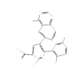 Cc1ncnc2ccc(-c3cc(C(N)=O)c(N)nc3-c3cc(F)ccc3F)cc12